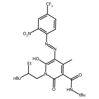 CCCCC(CC)Cn1c(O)c(/N=N/c2ccc(C(F)(F)F)cc2[N+](=O)[O-])c(C)c(C(=O)NC(C)(C)C)c1=O